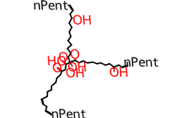 CCCCC/C=C\C/C=C\CCCCCCCC(=O)C(O)C(O)C(O)(C(=O)CCCCCCCCC(O)C/C=C\CCCCC)C(=O)CCCCCCCCC(O)C/C=C\CCCCC